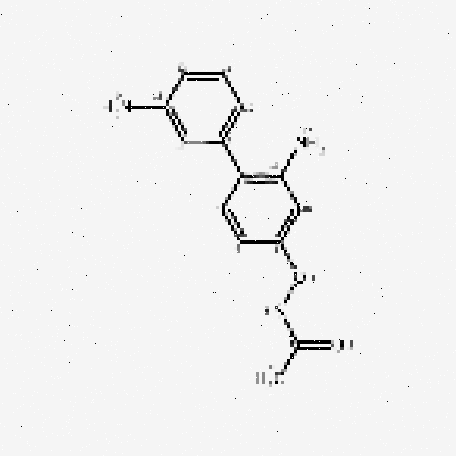 CC(=O)SOc1ccc(-c2cccc(N)c2)c(N)c1